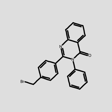 O=c1c2ccccc2nc(-c2ccc(CBr)cc2)n1-c1ccccc1